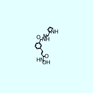 O=C(/C=C/c1cccc(C(=O)N/N=C/c2ccc[nH]2)c1)NO